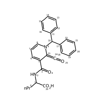 CCCC(NC(=O)C1=CC=CN(C(c2ccccc2)c2ccccc2)C1=C=O)C(=O)O